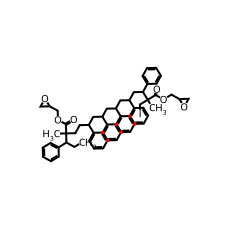 CCC(c1ccccc1)C(C)(CCC(CC(CC(CC(CC(c1ccccc1)C(C)(CI)C(=O)OCC1CO1)c1ccccc1)c1ccccc1)c1ccccc1)c1ccccc1)C(=O)OCC1CO1